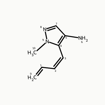 C=C/C=C\c1c(N)cnn1C